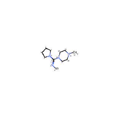 CC(C)/N=C(/N1CCCC1)N1CCN(C)CC1